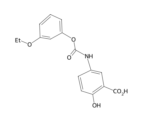 CCOc1cccc(OC(=O)Nc2ccc(O)c(C(=O)O)c2)c1